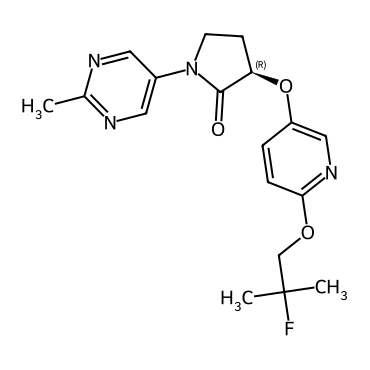 Cc1ncc(N2CC[C@@H](Oc3ccc(OCC(C)(C)F)nc3)C2=O)cn1